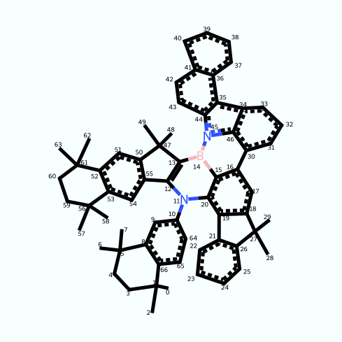 CC1(C)CCC(C)(C)c2cc(N3C4=C(B5c6c(cc7c(c63)-c3ccccc3C7(C)C)-c3cccc6c7c8ccccc8ccc7n5c36)C(C)(C)c3cc5c(cc34)C(C)(C)CCC5(C)C)ccc21